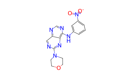 O=[N+]([O-])c1cccc(Nc2ncnc3cnc(N4CCOCC4)nc23)c1